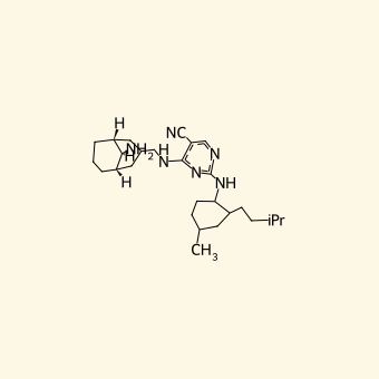 CC(C)CCC1CC(C)CCC1Nc1ncc(C#N)c(NCC2C[C@H]3CCC[C@@H](C2)[C@@H]3N)n1